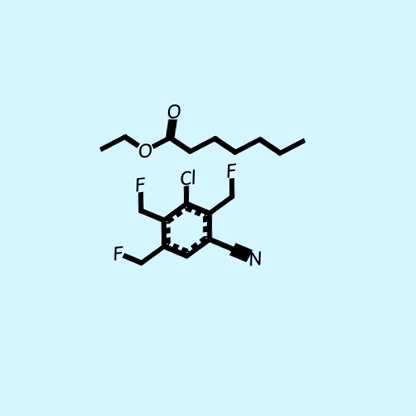 CCCCCCC(=O)OCC.N#Cc1cc(CF)c(CF)c(Cl)c1CF